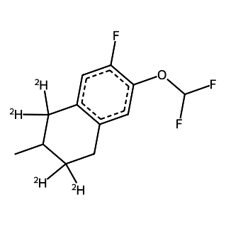 [2H]C1([2H])Cc2cc(OC(F)F)c(F)cc2C([2H])([2H])C1C